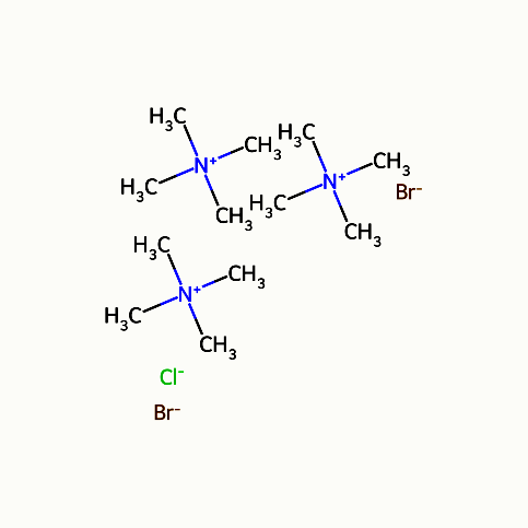 C[N+](C)(C)C.C[N+](C)(C)C.C[N+](C)(C)C.[Br-].[Br-].[Cl-]